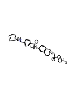 COC(=O)CN1CCc2cc(NC(=O)c3ccc(/C=N/N4CCSCC4)cc3)ccc2C1